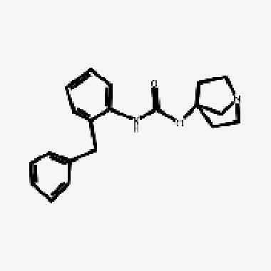 O=C(Nc1ccccc1Cc1ccccc1)OC12CCN(CC1)C2